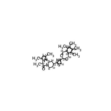 Cc1cc(C)n(C(C)C(=O)N2CCC(c3nc(C4OCc5c(C)c(C)c(C)c(C)c5CO4)cs3)CC2)n1